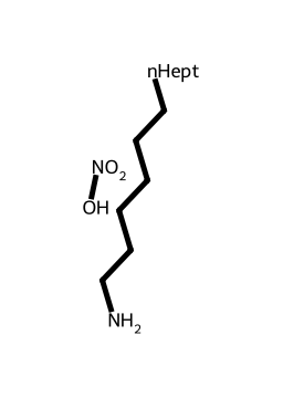 CCCCCCCCCCCCCN.O=[N+]([O-])O